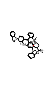 CNC(=O)C1CCN(S(=O)(=O)c2ccccc2C2=C3C=CC(N4CCc5ccccc54)C=C3Nc3cc(N4CCc5ccccc54)ccc32)CC1